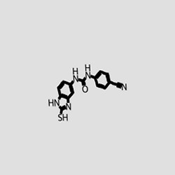 N#Cc1ccc(NC(=O)Nc2ccc3[nH]c(S)nc3c2)cc1